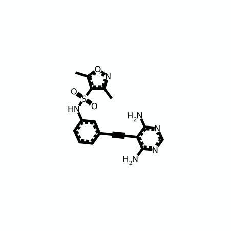 Cc1noc(C)c1S(=O)(=O)Nc1cccc(C#Cc2c(N)ncnc2N)c1